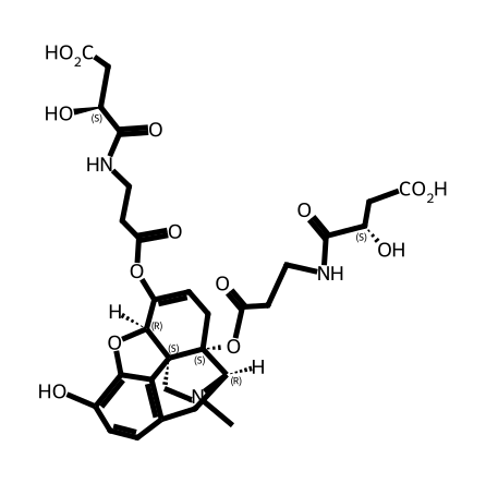 CN1CC[C@]23c4c5ccc(O)c4O[C@H]2C(OC(=O)CCNC(=O)[C@@H](O)CC(=O)O)=CC[C@@]3(OC(=O)CCNC(=O)[C@@H](O)CC(=O)O)[C@H]1C5